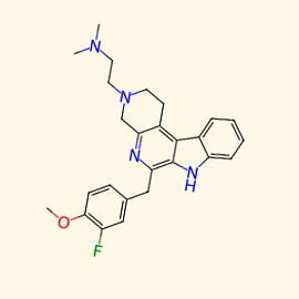 COc1ccc(Cc2nc3c(c4c2[nH]c2ccccc24)CCN(CCN(C)C)C3)cc1F